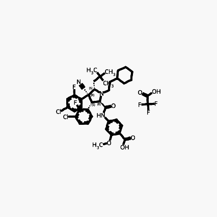 COc1cc(NC(=O)[C@H]2[C@H](c3cccc(Cl)c3F)[C@@](C#N)(c3ccc(Cl)cc3F)[C@H](CC(C)(C)C)N2CCC2CCCCC2)ccc1C(=O)O.O=C(O)C(F)(F)F